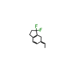 CC=C1C=CC2=C(C1)C(F)(F)CC2